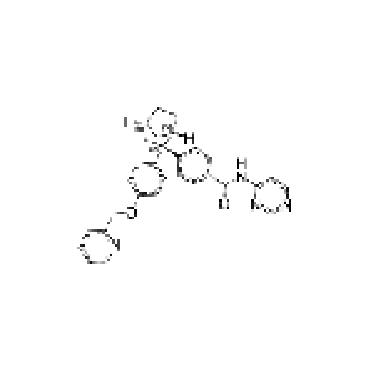 O=C(Nc1ccncn1)c1ccc([C@@]2(c3ccc(OCc4ccccn4)cc3)C[C@@H]3CC[C@H]2C3)cc1